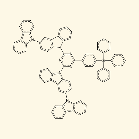 c1ccc([Si](c2ccccc2)(c2ccccc2)c2ccc(-c3nc(C4c5ccccc5-c5cc(-n6c7ccccc7c7ccccc76)ccc54)nc(-n4c5ccccc5c5cc(-n6c7ccccc7c7ccccc76)ccc54)n3)cc2)cc1